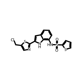 O=S(=O)(Nc1cccc2cc(-c3ncc(CCl)s3)[nH]c12)c1cccs1